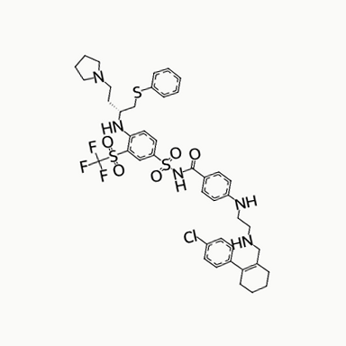 O=C(NS(=O)(=O)c1ccc(N[C@H](CCN2CCCC2)CSc2ccccc2)c(S(=O)(=O)C(F)(F)F)c1)c1ccc(NCCNCC2=C(c3ccc(Cl)cc3)CCCC2)cc1